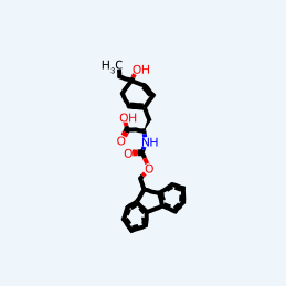 CCC1(O)C=CC(C[C@@H](NC(=O)OCC2c3ccccc3-c3ccccc32)C(=O)O)=CC1